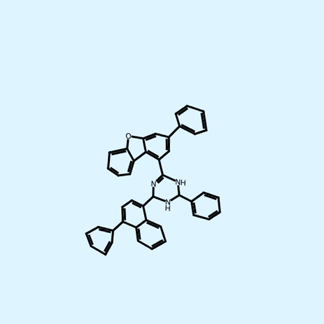 c1ccc(-c2cc(C3=NC(c4ccc(-c5ccccc5)c5ccccc45)NC(c4ccccc4)N3)c3c(c2)oc2ccccc23)cc1